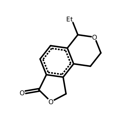 CCC1OCCc2c1ccc1c2COC1=O